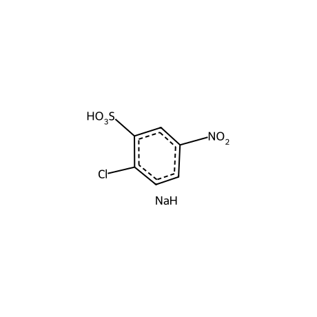 O=[N+]([O-])c1ccc(Cl)c(S(=O)(=O)O)c1.[NaH]